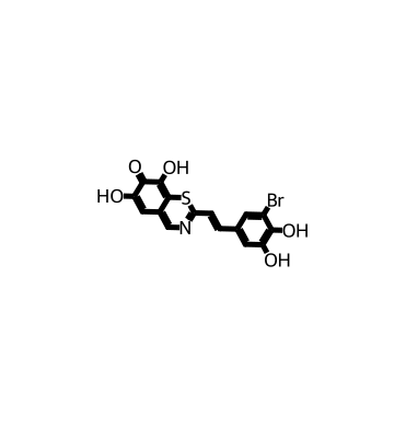 O=c1c(O)cc2cnc(/C=C/c3cc(O)c(O)c(Br)c3)sc-2c1O